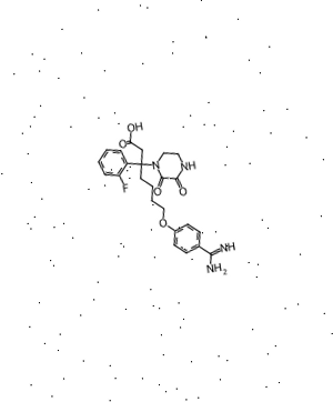 N=C(N)c1ccc(OCCCCC(CC(=O)O)(c2ccccc2F)N2CCNC(=O)C2=O)cc1